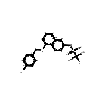 O=S(=O)(Nc1ccc2c(OCc3ccc(I)cc3)cccc2c1)C(F)(F)F